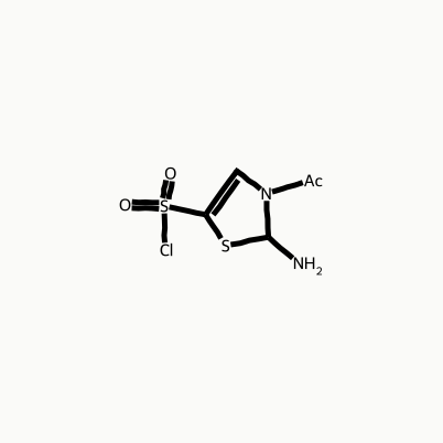 CC(=O)N1C=C(S(=O)(=O)Cl)SC1N